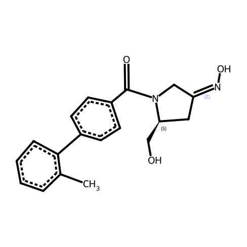 Cc1ccccc1-c1ccc(C(=O)N2C/C(=N\O)C[C@H]2CO)cc1